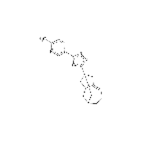 Cc1ccc(-c2nnc(C34CC5=CCCC(CC5C3)C4)o2)cn1